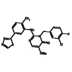 COc1cnc(Nc2cc(-c3nncs3)ccc2C)n(Cc2ccc(F)c(Cl)c2)c1=O